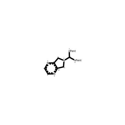 CCCCCC(CCCCC)N1Cc2nccnc2C1